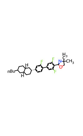 CCCCC1CC[C@@H]2C[C@H](c3ccc(-c4cc(F)c(C5=NC(C)(C)CO5)c(F)c4)c(F)c3)CC[C@@H]2C1